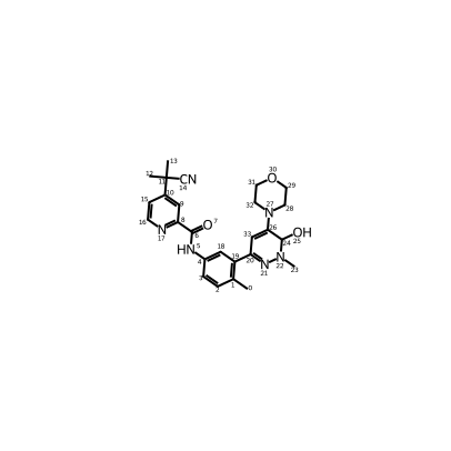 Cc1ccc(NC(=O)c2cc(C(C)(C)C#N)ccn2)cc1C1=NN(C)C(O)C(N2CCOCC2)=C1